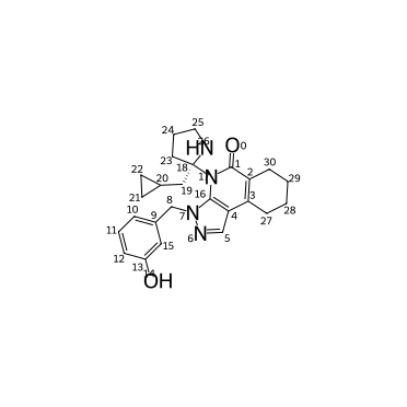 O=c1c2c(c3cnn(Cc4cccc(O)c4)c3n1[C@@]1(CC3CC3)CCCN1)CCCC2